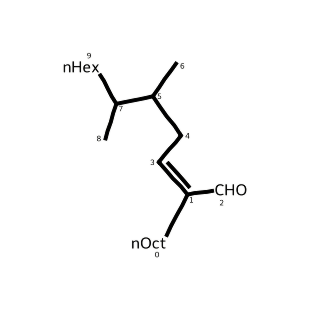 CCCCCCCCC(C=O)=CCC(C)C(C)CCCCCC